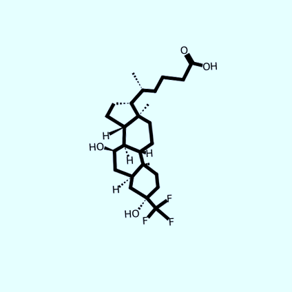 C[C@H](CCCC(=O)O)[C@H]1CC[C@H]2[C@@H]3[C@H](O)C[C@@H]4C[C@](O)(C(F)(F)F)CC[C@]4(C)[C@H]3CC[C@]12C